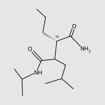 CCC[C@H](C(N)=O)C(CC(C)C)C(=O)NC(C)C